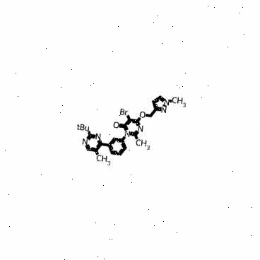 Cc1cnc(C(C)(C)C)nc1-c1cccc(-n2c(C)nc(OCc3ccn(C)n3)c(Br)c2=O)c1